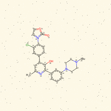 Cc1cc(-c2ccc(-n3ccoc3=O)c(Cl)c2)c(O)c(-c2cccc(N3CCN(C(C)(C)C)CC3)c2)n1